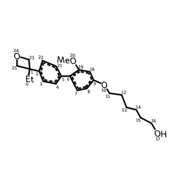 CCC1(c2ccc(-c3ccc(OCCCCCCO)cc3OC)cc2)COC1